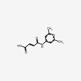 Cc1cc(NC(=O)/C=C/C(=O)O)cc(C)n1